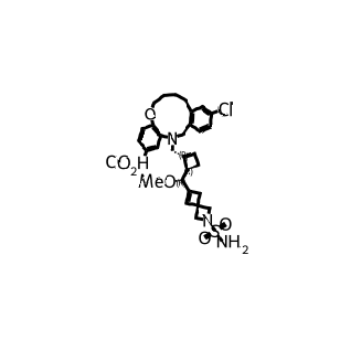 CO[C@@H](C1=CC2(C1)CN(S(N)(=O)=O)C2)[C@@H]1CC[C@H]1CN1Cc2ccc(Cl)cc2CCCCOc2ccc(C(=O)O)cc21